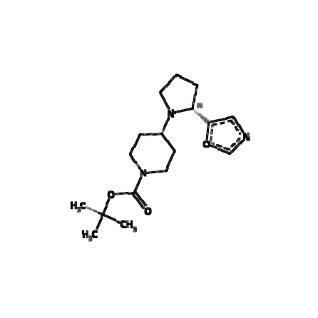 CC(C)(C)OC(=O)N1CCC(N2CCC[C@@H]2c2cnco2)CC1